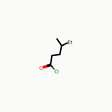 CCC(C)CCC(=O)Cl